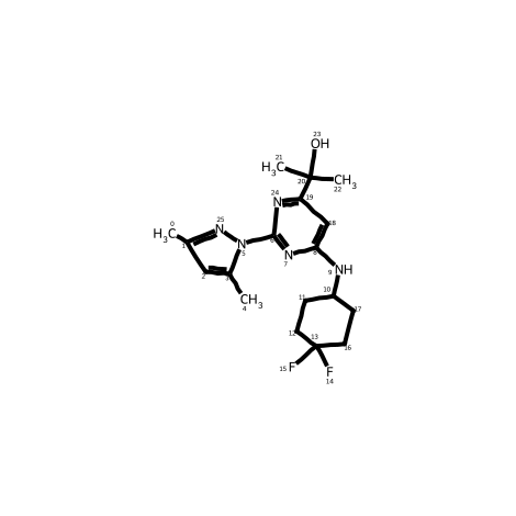 Cc1cc(C)n(-c2nc(NC3CCC(F)(F)CC3)cc(C(C)(C)O)n2)n1